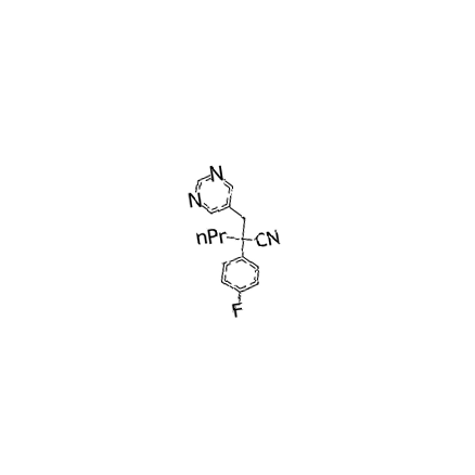 CCCC(C#N)(Cc1cncnc1)c1ccc(F)cc1